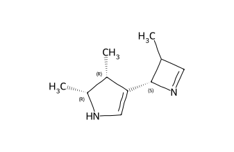 CC1C=N[C@@H]1C1=CN[C@H](C)[C@@H]1C